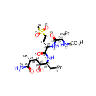 CC(C)C[C@H](NC(=O)[C@H](CCS(C)(=O)=O)NC(=O)[C@@H](NC(=O)O)C(C)C)[C@@H](O)C[C@@H](C)C(N)=O